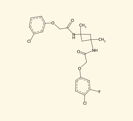 CC1(NC(=O)COc2cccc(Cl)c2)CC(C)(NC(=O)COc2ccc(Cl)c(F)c2)C1